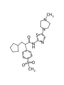 CN1CCN(c2cnc(NC(=O)C(CC3CCCC3)c3ccc(S(C)(=O)=O)cc3)s2)CC1